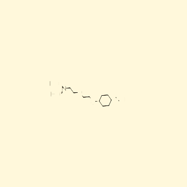 CN(C)CCOCCO[C@H]1CC[C@H](N)CC1